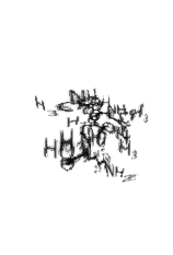 CC(C)C[C@H](N)C(=O)O.C[C@H](N)C(=O)O.C[C@H](N)C(=O)O.NCCCC[C@H](N)C(=O)O